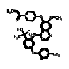 C=CC(=O)N1CCC(Oc2cc3c(Nc4cc(Oc5ccc(C)cn5)ccc4C(C)(C)O)ncnc3cc2OC)CC1